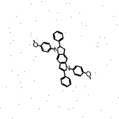 COc1ccc(N2c3cc4cc(-c5ccccc5)n(-c5ccc(OC)cc5)c4cc3CC2c2ccccc2)cc1